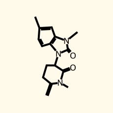 C=C1CCC(n2c(=O)n(C)c3cc(C)ccc32)C(=O)N1C